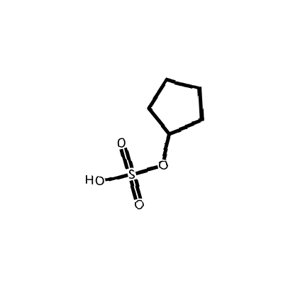 O=S(=O)(O)OC1CCCC1